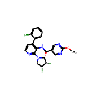 COc1ncc(C(=O)Nc2c(-c3ccccc3F)ccnc2N2C[C@@H](F)[C@@H](F)C2)cn1